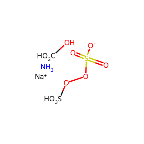 N.O=C(O)O.O=S(=O)([O-])OOS(=O)(=O)O.[Na+]